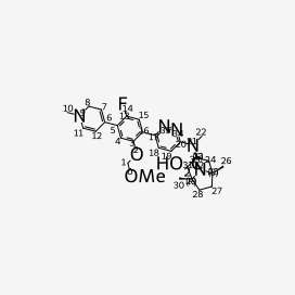 COCOc1cc(C2=CCN(C)C=C2)c(F)cc1-c1ccc(N(C)[C@H]2C[C@]3(C)CC[C@](C)(C2)N3C(=O)O)nn1